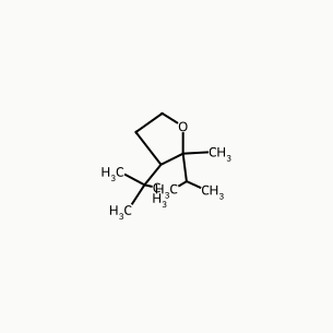 CC(C)C1(C)OCCC1C(C)(C)C